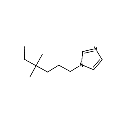 CCC(C)(C)CCCn1ccnc1